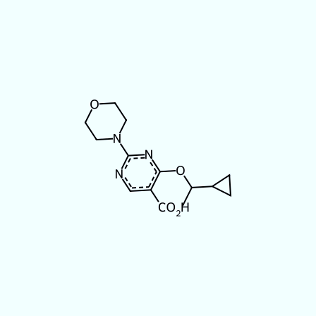 CC(Oc1nc(N2CCOCC2)ncc1C(=O)O)C1CC1